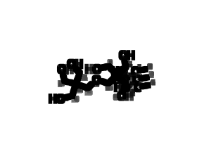 CC(=O)O.CC(=O)O.CC(=O)O.OCC(CO)(CO)COCC(CO)(CO)CO